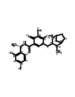 C[C@H](NC(=O)c1cn(CC2OC3CCC(C3)N2C)c(C=O)c(O)c1=O)c1ccc(F)cc1F